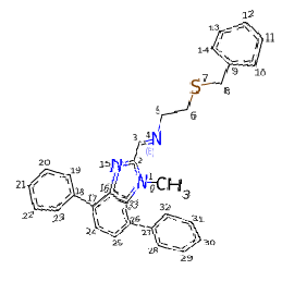 Cn1c(/C=N/CCSCc2ccccc2)nc2c(-c3ccccc3)ccc(-c3ccccc3)c21